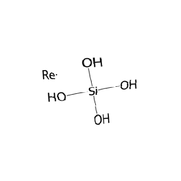 O[Si](O)(O)O.[Re]